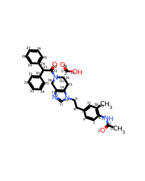 CC(=O)Nc1ccc(CCn2cnc3c2C[C@@H](C(=O)O)N(C(=O)C(c2ccccc2)c2ccccc2)C3)cc1C